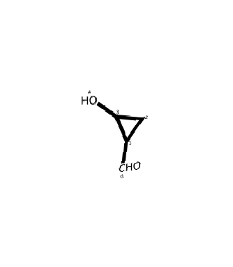 O=CC1CC1O